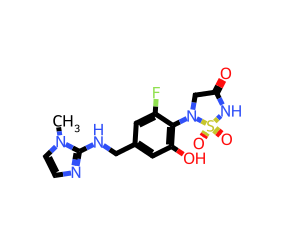 Cn1ccnc1NCc1cc(O)c(N2CC(=O)NS2(=O)=O)c(F)c1